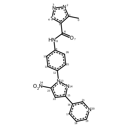 Cc1nnsc1C(=O)Nc1ccc(-n2nc(-c3cccnc3)cc2[N+](=O)[O-])cc1